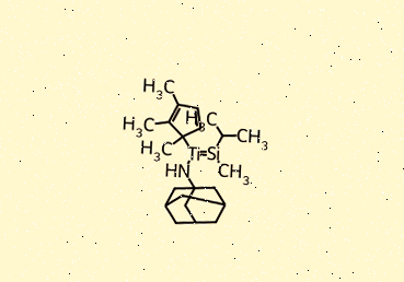 CC1=C(C)[C](C)([Ti]([NH]C23CC4CC(CC(C4)C2)C3)=[Si](C)C(C)C)C=C1